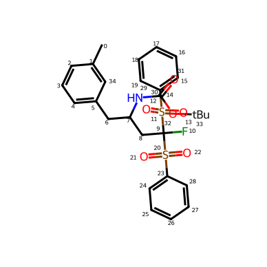 Cc1cccc(CC(CC(F)(S(=O)(=O)c2ccccc2)S(=O)(=O)c2ccccc2)NC(=O)OC(C)(C)C)c1